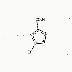 CCn1cnc(C(=O)O)n1